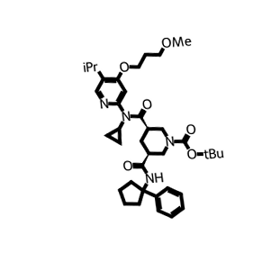 COCCCOc1cc(N(C(=O)[C@@H]2C[C@H](C(=O)NC3(c4ccccc4)CCCC3)CN(C(=O)OC(C)(C)C)C2)C2CC2)ncc1C(C)C